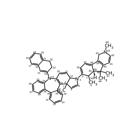 CC1C(N2C=CC3(C)C4=C(C=CC23)N(C2=Cc3ccccc3CC2)c2ccccc2-c2ccccc24)=CC=C2C3=C(C=CN(C)C3)C(C)(C)[C@@H]21